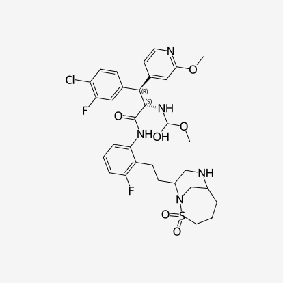 COc1cc([C@H](c2ccc(Cl)c(F)c2)[C@H](NC(O)OC)C(=O)Nc2cccc(F)c2CCC2CNC3CCCS(=O)(=O)N2C3)ccn1